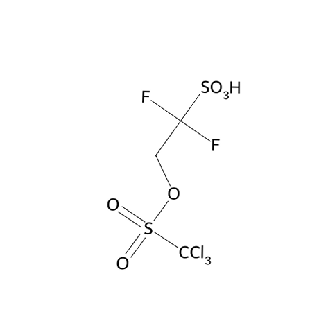 O=S(=O)(O)C(F)(F)COS(=O)(=O)C(Cl)(Cl)Cl